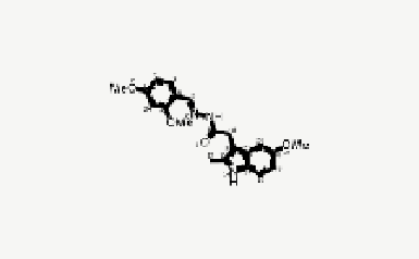 COc1ccc(/C=N/NC(=O)Cc2c(C)[nH]c3ccc(OC)cc23)c(OC)c1